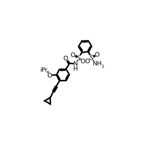 CC(C)Oc1cc(C(=O)NS(=O)(=O)c2ccccc2S(N)(=O)=O)ccc1C#CC1CC1